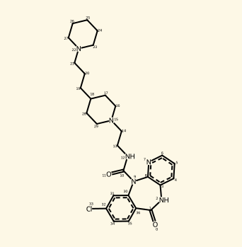 O=C1Nc2cccnc2N(C(=O)NCCN2CCC(CCCN3CCCCC3)CC2)c2cc(Cl)ccc21